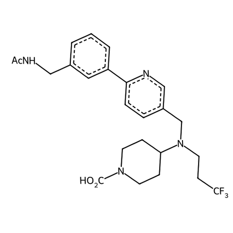 CC(=O)NCc1cccc(-c2ccc(CN(CCC(F)(F)F)C3CCN(C(=O)O)CC3)cn2)c1